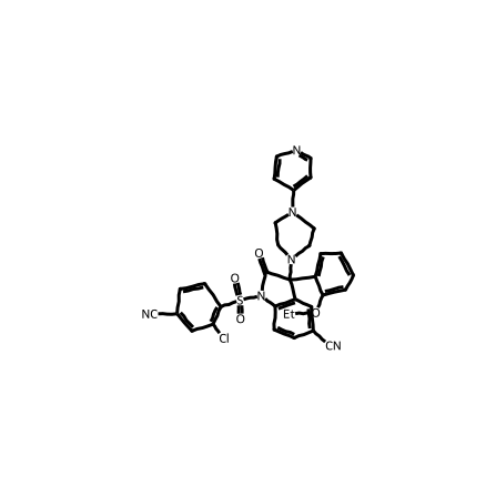 CCOc1ccccc1C1(N2CCN(c3ccncc3)CC2)C(=O)N(S(=O)(=O)c2ccc(C#N)cc2Cl)c2ccc(C#N)cc21